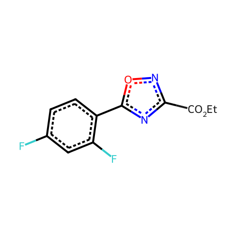 CCOC(=O)c1noc(-c2ccc(F)cc2F)n1